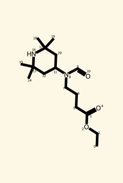 CCOC(=O)CCCN(C=O)C1CC(C)(C)NC(C)(C)C1